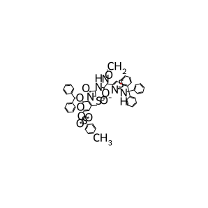 C=CON=C(C(=O)NC1C(=O)N2C(C(=O)OC(c3ccccc3)c3ccccc3)=C(C=COS(=O)(=O)c3ccc(C)cc3)C[S+]([O-])C12)c1csc(NC(c2ccccc2)(c2ccccc2)c2ccccc2)n1